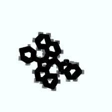 c1ccc(C2=C3C(=C(c4nc5ccccc5o4)c4ccc5ccccc5c43)c3c2ccc2ccccc32)cc1